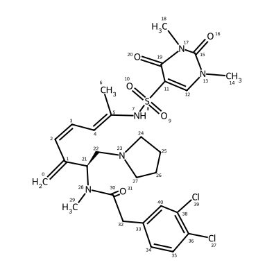 C=C(/C=C\C=C(/C)NS(=O)(=O)c1cn(C)c(=O)n(C)c1=O)[C@@H](CN1CCCC1)N(C)C(=O)Cc1ccc(Cl)c(Cl)c1